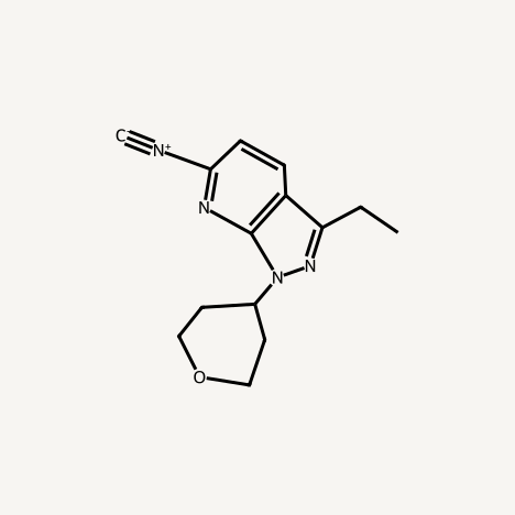 [C-]#[N+]c1ccc2c(CC)nn(C3CCOCC3)c2n1